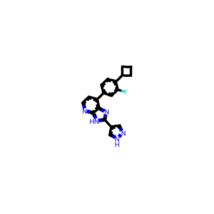 Fc1cc(-c2ccnc3[nH]c(-c4cn[nH]c4)nc23)ccc1C1CCC1